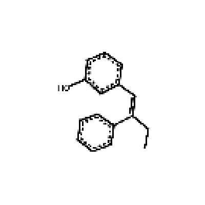 CCC(=Cc1cccc(O)c1)c1ccccc1